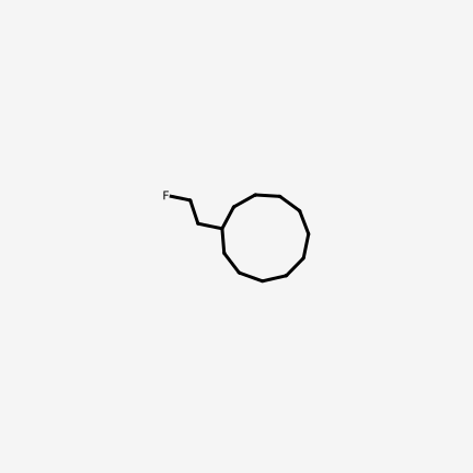 FCCC1CCCCCCCCCC1